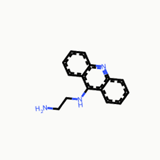 NCCNc1c2ccccc2nc2ccccc12